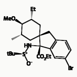 CCOC(=O)[C@]1(N[S@@+]([O-])C(C)(C)C)c2cc(Br)ccc2C[C@@]12C[C@@H](CC)[C@H](OC)[C@@H](C)C2